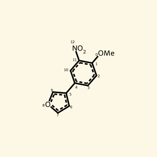 COc1ccc(-c2ccoc2)cc1[N+](=O)[O-]